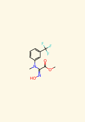 COC(=O)/C(=N/O)N(C)c1cccc(C(F)(F)F)c1